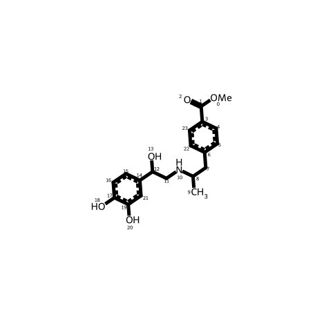 COC(=O)c1ccc(CC(C)NCC(O)c2ccc(O)c(O)c2)cc1